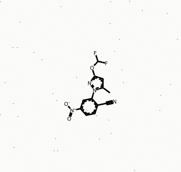 Cc1cc(OC(F)F)nn1-c1cc([N+](=O)[O-])ccc1C#N